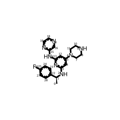 C[C@H](Nc1cc(N2CCNCC2)cc(Nc2cnccn2)n1)c1ccc(F)cc1